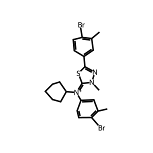 Cc1cc(-c2nn(C)c(=[N+](c3ccc(Br)c(C)c3)C3CCCCC3)s2)ccc1Br